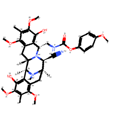 COc1ccc(OC(=O)NC[C@H]2c3c(O)c(OC)c(C)c(OC)c3C[C@H]3[C@@H]4c5c(O)c(OC)c(C)c(OC)c5C[C@H]([C@H](C#N)N23)N4C)cc1